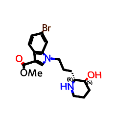 COC(=O)c1cn(CCC[C@H]2NCCC[C@@H]2O)c2cc(Br)ccc12